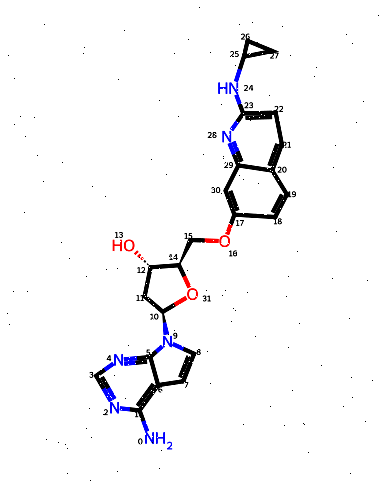 Nc1ncnc2c1ccn2[C@H]1C[C@H](O)[C@@H](COc2ccc3ccc(NC4CC4)nc3c2)O1